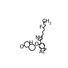 C=C=CC(F)CCCC/C=C(\C=N)C1=C(O[C@H]2CCCCC3CC(=O)CCC[C@@H]3C2)C=C(C(C)=O)C2(C=C1)CC2